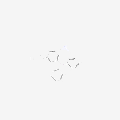 CN(C)C.O=S(=O)(O)c1cccc(P(c2ccccc2)c2ccccc2)c1